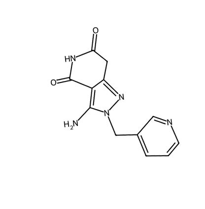 Nc1c2c(nn1Cc1cccnc1)CC(=O)NC2=O